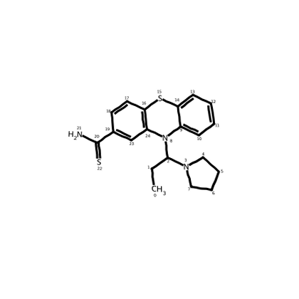 CCC(N1CCCC1)N1c2ccccc2Sc2ccc(C(N)=S)cc21